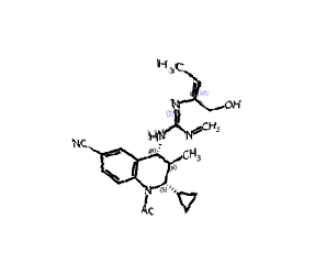 C=N/C(=N\C(=C/C)CO)N[C@H]1c2cc(C#N)ccc2N(C(C)=O)[C@@H](C2CC2)[C@@H]1C